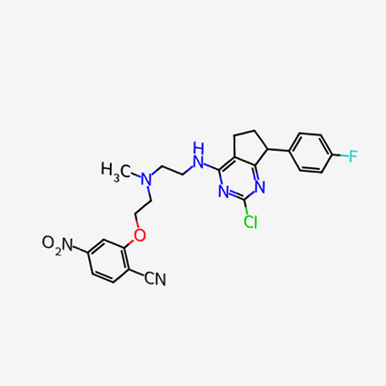 CN(CCNc1nc(Cl)nc2c1CCC2c1ccc(F)cc1)CCOc1cc([N+](=O)[O-])ccc1C#N